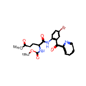 COC(=O)CCC(NC(=O)OC(C)(C)C)C(=O)Nc1ccc(Br)cc1C(=O)c1ccccn1